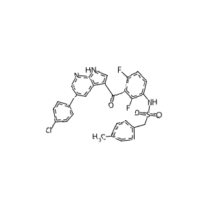 Cc1ccc(CS(=O)(=O)Nc2ccc(F)c(C(=O)c3c[nH]c4ncc(-c5ccc(Cl)cc5)cc34)c2F)cc1